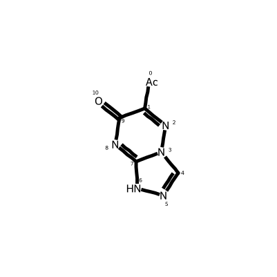 CC(=O)c1nn2cn[nH]c2nc1=O